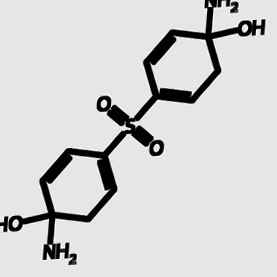 NC1(O)C=CC(S(=O)(=O)C2=CCC(N)(O)C=C2)=CC1